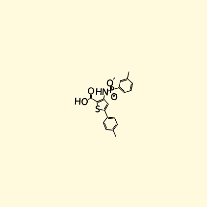 COP(=O)(Nc1cc(-c2ccc(C)cc2)sc1C(=O)O)c1cccc(C)c1